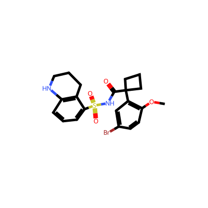 COc1ccc(Br)cc1C1(C(=O)NS(=O)(=O)c2cccc3c2CCCN3)CCC1